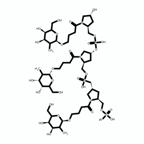 CC1[C@H](OCCCC(=O)N2C[C@H](O)C[C@H]2COP(=O)(O)O[C@@H]2C[C@@H](COP(=O)(O)C[C@@H]3C[C@@H](COP(=O)(O)C(C)C)N(C(=O)CCCO[C@@H]4OC(CO)[C@H](O)[C@H](O)C4C)C3)N(C(=O)CCCO[C@@H]3OC(CO)[C@H](O)[C@H](O)C3C)C2)OC(CO)[C@H](O)[C@@H]1O